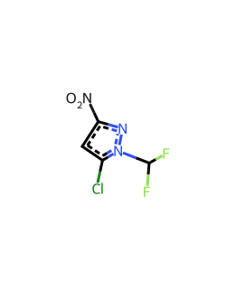 O=[N+]([O-])c1cc(Cl)n(C(F)F)n1